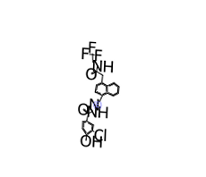 O=C(Cc1ccc(/C=N/NC(=O)c2ccc(O)c(Cl)c2)c2ccccc12)NCC(F)(F)F